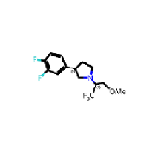 COC[C@H](N1CC[C@H](c2ccc(F)c(F)c2)C1)C(F)(F)F